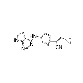 N#CC(=CC1CC1)c1ccc(Nc2ncnc3[nH]ccc23)cn1